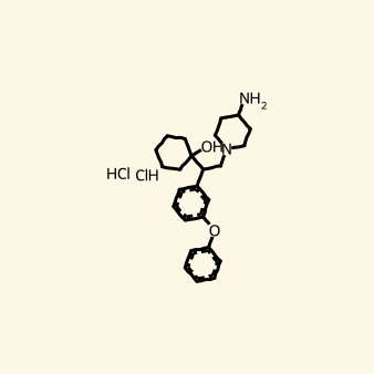 Cl.Cl.NC1CCN(CC(c2cccc(Oc3ccccc3)c2)C2(O)CCCCC2)CC1